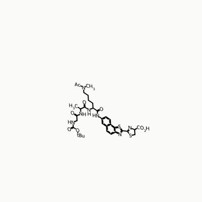 CC(=O)N(C)CCCCC(NC(=O)C(C)NC(=O)CNC(=O)OC(C)(C)C)C(=O)Nc1ccc2c(ccc3nc(C4=NC(C(=O)O)CS4)sc32)c1